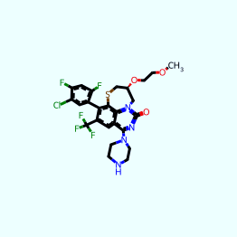 COCCO[C@@H]1CSc2c(-c3cc(Cl)c(F)cc3F)c(C(F)(F)F)cc3c(N4CCNCC4)nc(=O)n(c23)C1